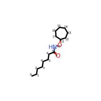 CCCCCCCC(=O)NOC1CCCCCC1